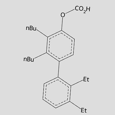 CCCCc1c(OC(=O)O)ccc(-c2cccc(CC)c2CC)c1CCCC